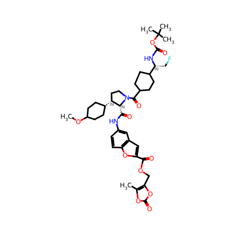 COC1CCC([C@@H]2CCN(C(=O)C3CCC([C@@H](CF)NC(=O)OC(C)(C)C)CC3)[C@@H]2C(=O)Nc2ccc3oc(C(=O)OCc4oc(=O)oc4C)cc3c2)CC1